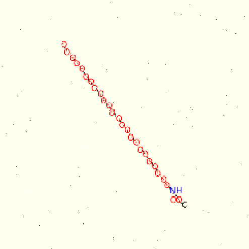 COCCOCCOCCOCCOCCOCCOCCOCCOCCOCCOCCOCCOCCOCCOCCOCCOCCOCCOCCOCCOCCOCCOCCOCCNCCC(=O)OCc1ccccc1